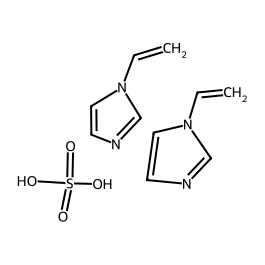 C=Cn1ccnc1.C=Cn1ccnc1.O=S(=O)(O)O